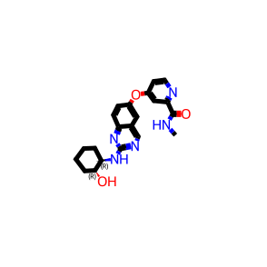 CNC(=O)c1cc(Oc2ccc3nc(N[C@@H]4CCCC[C@H]4O)ncc3c2)ccn1